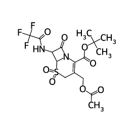 CC(=O)OCC1=C(C(=O)OC(C)(C)C)N2C(=O)C(NC(=O)C(F)(F)F)C2S(=O)(=O)C1